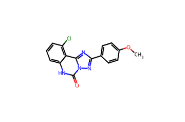 COc1ccc(-c2nc3c4c(Cl)cccc4[nH]c(=O)n3n2)cc1